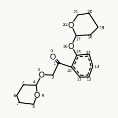 O=C(COC1CCCCO1)c1ccccc1OC1CCCCO1